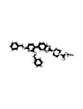 CC(C)(C)OC(=O)N1CCN(c2nc3ccc(-c4ccc(OCc5ccccc5)nc4OCc4ccccc4)cc3o2)CC1